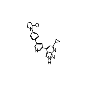 O=C1CCCN1c1ccc(-c2cncc(-c3cc(C4CC4)nc4n[nH]cc34)c2)cc1